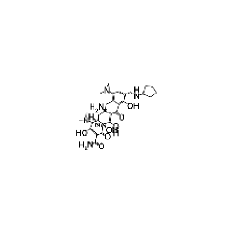 CN(C)c1cc(CNC2CCCC2)c(O)c2c1C[C@@]1(N)C[C@H]3C(N(C)C)C(O)=C(C(N)=O)C(=O)[C@@]3(O)C(O)=C1C2=O